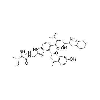 CC[C@H](C)[C@H](N)C(=O)NCc1nc2c(C(=O)CC(C)c3ccc(O)cc3)c(C(=O)C(C[C@H](O)[C@@H](N)CC3CCCCC3)C(C)C)ccc2[nH]1